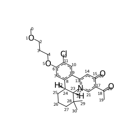 COCCCOc1cc2c(cc1Cl)-c1cc(=O)c(C(C)=O)cn1[C@H]1[C@@H]2CCCC1(C)C